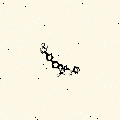 Cn1nnc(-c2ccc(-c3ccc4c(c3)C[C@H]3C(CNc5ccon5)OC(=O)N43)cn2)n1